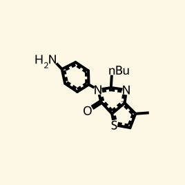 CCCCc1nc2c(C)csc2c(=O)n1-c1ccc(N)cc1